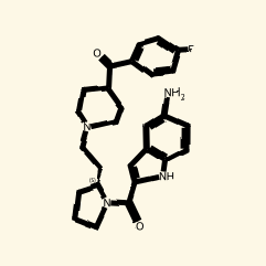 Nc1ccc2[nH]c(C(=O)N3CCC[C@H]3CCN3CCC(C(=O)c4ccc(F)cc4)CC3)cc2c1